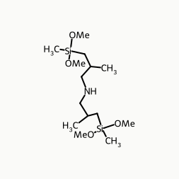 CO[Si](C)(CC(C)CNCC(C)C[Si](C)(OC)OC)OC